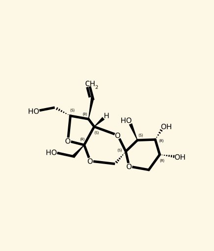 C=C[C@@H]1[C@@H](CO)O[C@@]2(CO)OC[C@]3(OC[C@@H](O)[C@@H](O)[C@@H]3O)O[C@@H]12